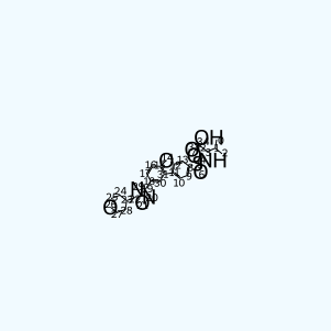 CC(C)[C@H](NS(=O)(=O)c1ccc2c(c1)oc1ccc(-c3noc(C4CCOCC4)n3)cc12)C(=O)O